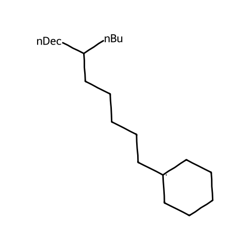 CCCCCCCCCCC(CCCC)CCCCC[C]1CCCCC1